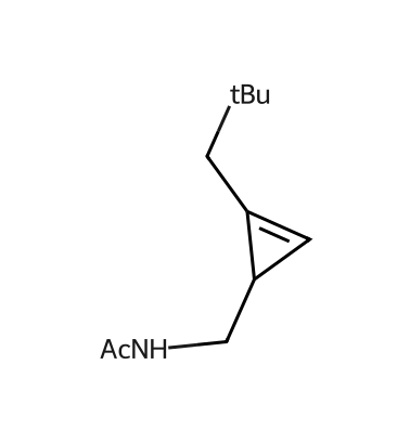 CC(=O)NCC1C=C1CC(C)(C)C